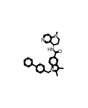 Cc1c(C)n(Cc2ccc(-c3ccccc3)cc2)c2ccc(C(=O)N[C@H]3CCN(C)c4ccncc43)cc12